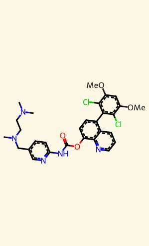 COc1cc(OC)c(Cl)c(-c2ccc(OC(=O)Nc3ccc(CN(C)CCN(C)C)cn3)c3ncccc23)c1Cl